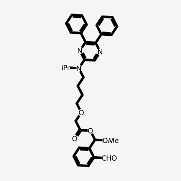 COC(OC(=O)COCCCCN(c1cnc(-c2ccccc2)c(-c2ccccc2)n1)C(C)C)c1ccccc1C=O